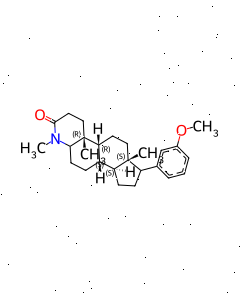 COc1cccc(C2CC[C@H]3[C@@H]4CCC5N(C)C(=O)CC[C@]5(C)[C@@H]4CC[C@]23C)c1